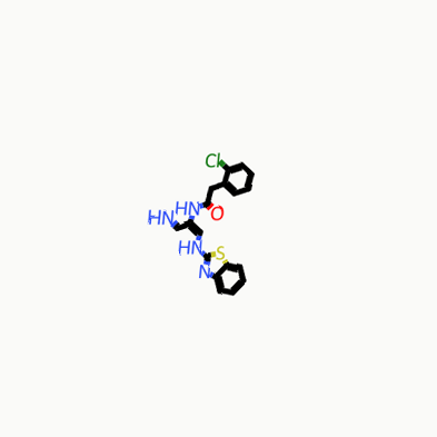 N=C/C(=C\Nc1nc2ccccc2s1)NC(=O)Cc1ccccc1Cl